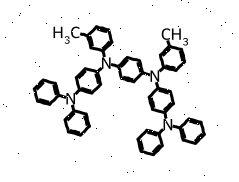 Cc1cccc(N(c2ccc(N(c3ccccc3)c3ccccc3)cc2)c2ccc(N(c3ccc(N(c4ccccc4)c4ccccc4)cc3)c3cccc(C)c3)cc2)c1